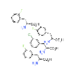 NC(Cc1ccc(F)cc1)C(=O)O.NC(Cc1cccc(Cl)c1)C(=O)O.NC(Cc1cccc(F)c1)C(=O)O.NC(Cc1ccccc1F)C(=O)O